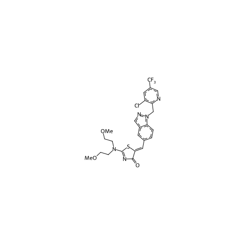 COCCN(CCOC)C1=NC(=O)C(=Cc2ccc3c(cnn3Cc3ncc(C(F)(F)F)cc3Cl)c2)S1